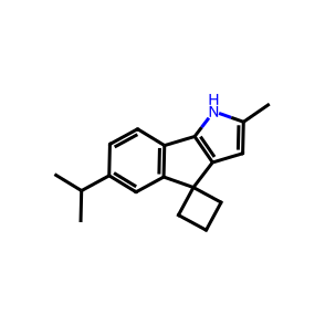 Cc1cc2c([nH]1)-c1ccc(C(C)C)cc1C21CCC1